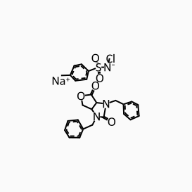 Cc1ccc(S(=O)(=O)[N-]Cl)cc1.O=C1OCC2C1N(Cc1ccccc1)C(=O)N2Cc1ccccc1.[Na+]